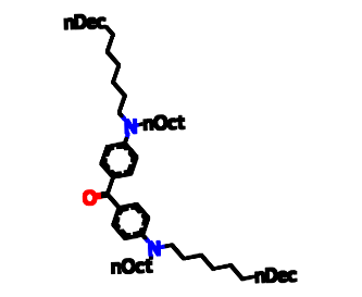 CCCCCCCCCCCCCCCCN(CCCCCCCC)c1ccc(C(=O)c2ccc(N(CCCCCCCC)CCCCCCCCCCCCCCCC)cc2)cc1